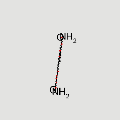 NC(=O)CCCCCCCCCCCCCCCCCCCCCCCCCCCCCCCCCCCCCC(N)=O